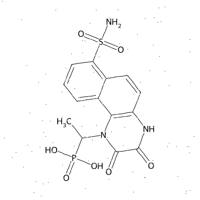 CC(n1c(=O)c(=O)[nH]c2ccc3c(S(N)(=O)=O)cccc3c21)P(=O)(O)O